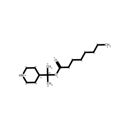 CCCCCCCC(=O)OC(C)(C)C1CCNCC1